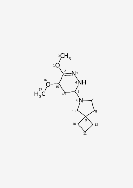 COC1=NNC(N2CCC3(CCC3)C2)CC1OC